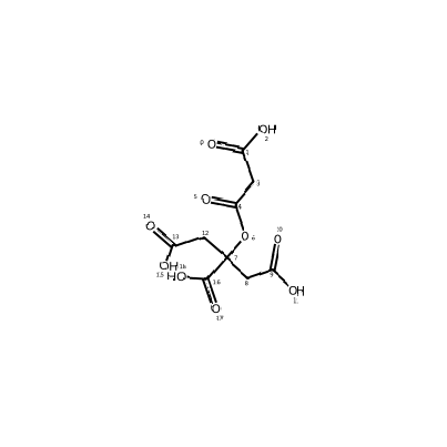 O=C(O)CC(=O)OC(CC(=O)O)(CC(=O)O)C(=O)O